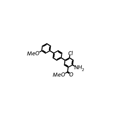 COC(=O)c1cc(-c2ccc(-c3cccc(OC)c3)cc2)c(Cl)cc1N